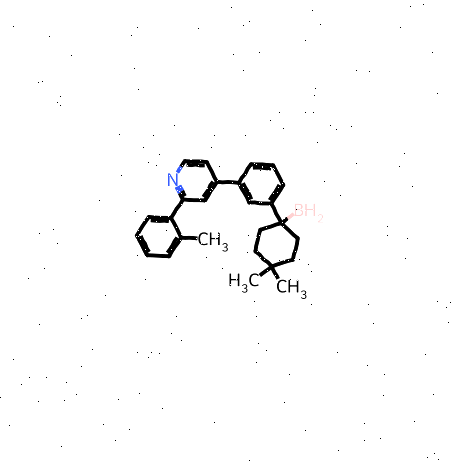 BC1(c2cccc(-c3ccnc(-c4ccccc4C)c3)c2)CCC(C)(C)CC1